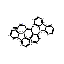 C=C/C=C\C(=C(/C)c1ccccc1-n1c2ccccc2c2ccccc21)n1c2ccccc2c2ccccc21